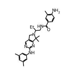 CCC(CNC(=O)c1ccc(N)c(C)c1)N1Cc2cnc(Nc3cc(C)cc(C)c3)nc2C1(C)C